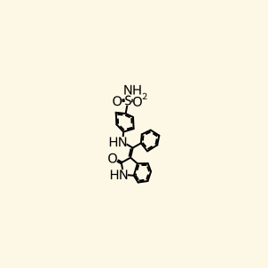 NS(=O)(=O)c1ccc(N/C(=C2\C(=O)Nc3ccccc32)c2ccccc2)cc1